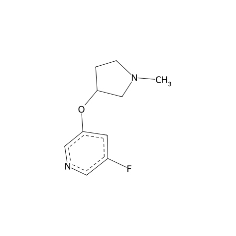 CN1CCC(Oc2cncc(F)c2)C1